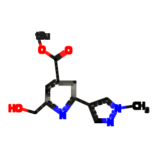 Cn1cc(-c2cc(C(=O)OC(C)(C)C)cc(CO)n2)cn1